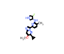 COc1cc2ncc(-c3ccc(C)c(N[C@@H]4CNC[C@H]4F)n3)n2nc1C1CC1